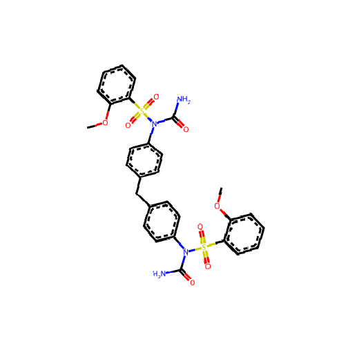 COc1ccccc1S(=O)(=O)N(C(N)=O)c1ccc(Cc2ccc(N(C(N)=O)S(=O)(=O)c3ccccc3OC)cc2)cc1